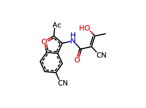 CC(=O)c1oc2ccc(C#N)cc2c1NC(=O)C(C#N)=C(C)O